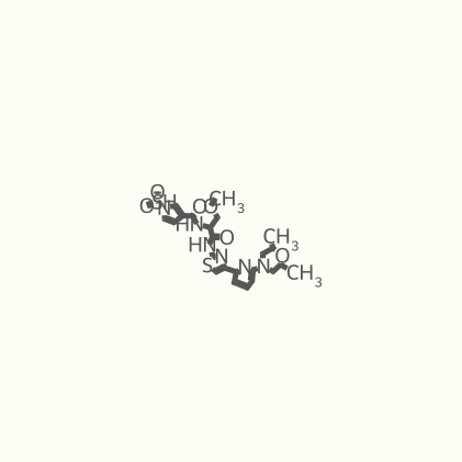 COCC(NC(=O)c1ccn([SH](=O)=O)c1)C(=O)Nc1nc(-c2cccc(N3CC(C)OC(C)C3)n2)cs1